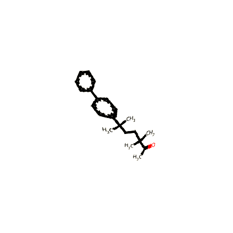 CC(=O)C(C)(C)CCC(C)(C)c1ccc(-c2ccccc2)cc1